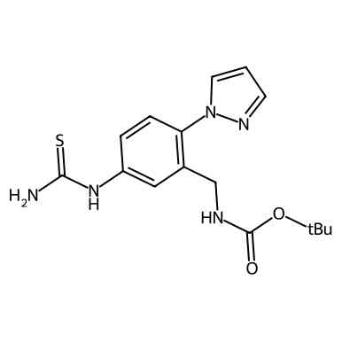 CC(C)(C)OC(=O)NCc1cc(NC(N)=S)ccc1-n1cccn1